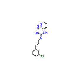 N#CNC(=NCCCc1cccc(Cl)c1)Nc1cccnc1